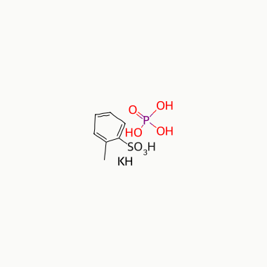 Cc1ccccc1S(=O)(=O)O.O=P(O)(O)O.[KH]